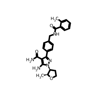 Cc1ccccc1C(=O)NCc1ccc(-c2nn([C@H]3CCO[C@H]3C)c(N)c2C(N)=O)cc1